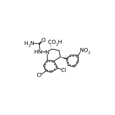 NC(=O)NN1c2cc(Cl)cc(Cl)c2[C@H](c2cccc([N+](=O)[O-])c2)C[C@H]1C(=O)O